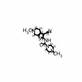 CN1CCN(C(=O)Nc2sc3c(c2C#N)CCN(C)C3)CC1